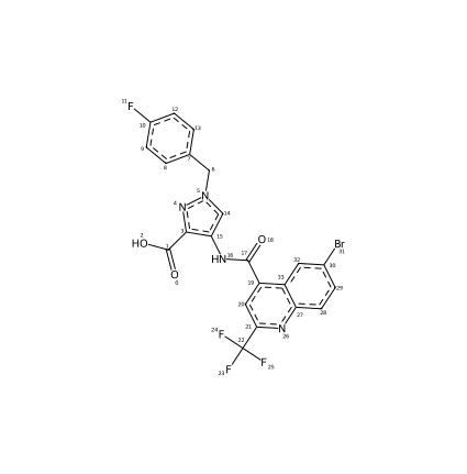 O=C(O)c1nn(Cc2ccc(F)cc2)cc1NC(=O)c1cc(C(F)(F)F)nc2ccc(Br)cc12